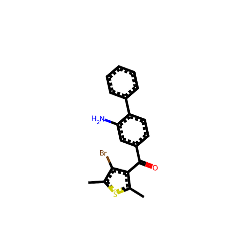 Cc1sc(C)c(C(=O)c2ccc(-c3ccccc3)c(N)c2)c1Br